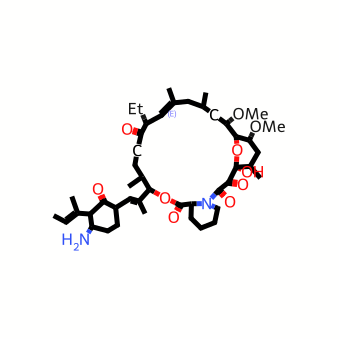 CC=C(C)C1C(=O)C(C=C(C)C2OC(=O)C3CCCCN3C(=O)C(=O)C3(O)OC(C(OC)CC(C)C/C(C)=C/C(CC)C(=O)CCC2C)C(OC)CC3C)CCC1N